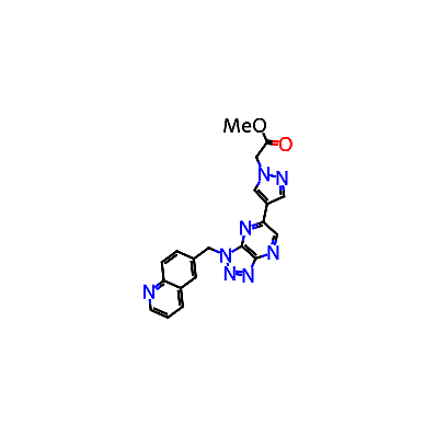 COC(=O)Cn1cc(-c2cnc3nnn(Cc4ccc5ncccc5c4)c3n2)cn1